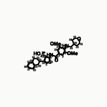 COc1cc(C(=O)Nc2scc(C3CCc4ccccc4C3)c2C(=O)O)cc(OC)c1NCC1CCOCC1